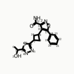 CC(O)c1nnc(C2CC(c3c(C(N)=O)noc3-c3ccccc3)C2)s1